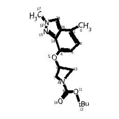 Cc1ccc(OC2CN(C(=O)OC(C)(C)C)C2)c2nn(C)cc12